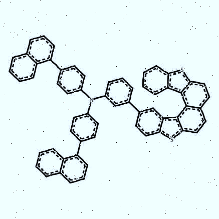 c1cc(-c2ccc3sc4ccc5ccc6sc7ccccc7c6c5c4c3c2)cc(N(c2ccc(-c3cccc4ccccc34)cc2)c2ccc(-c3cccc4ccccc34)cc2)c1